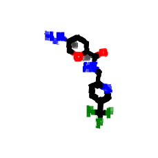 N[C@@H]1CC[C@@H](C(=O)NCc2ccc(C(F)(F)F)cn2)OC1